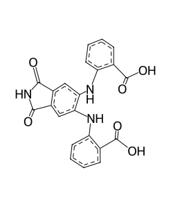 O=C(O)c1ccccc1Nc1cc2c(cc1Nc1ccccc1C(=O)O)C(=O)NC2=O